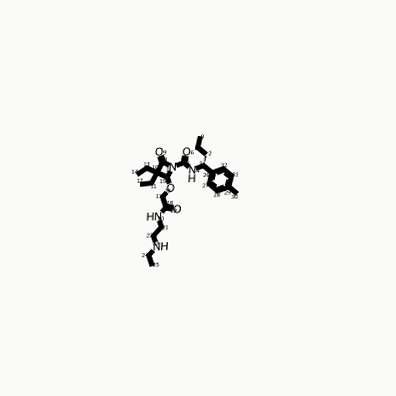 CCC[C@@H](NC(=O)N1C(=O)C(CC)(CC)C1OCC(=O)NCCNCC)c1ccc(C)cc1